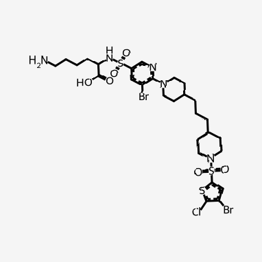 NCCCCC(NS(=O)(=O)c1cnc(N2CCC(CCCC3CCN(S(=O)(=O)c4cc(Br)c(Cl)s4)CC3)CC2)c(Br)c1)C(=O)O